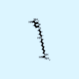 N=C(N)NCCCCCCCCNCCCCOc1ccc(C(=N)N)cn1